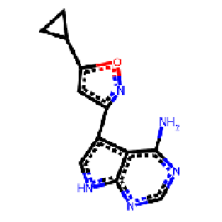 Nc1ncnc2[nH]cc(-c3cc(C4CC4)on3)c12